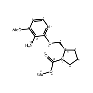 COc1ccnc(OC[C@H]2CCCN2C(=O)OC(C)(C)C)c1N